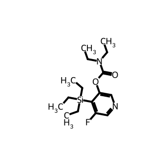 CCN(CC)C(=O)Oc1cncc(F)c1[Si](CC)(CC)CC